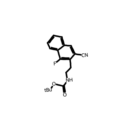 CC(C)(C)OC(=O)NCCc1c(C#N)cc2ccccc2c1F